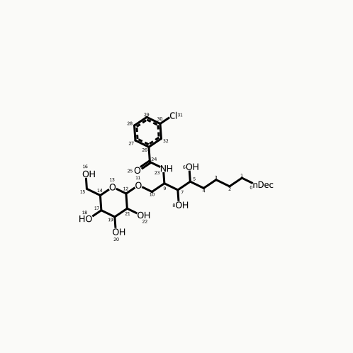 CCCCCCCCCCCCCCC(O)C(O)C(COC1OC(CO)C(O)C(O)C1O)NC(=O)c1cccc(Cl)c1